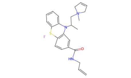 C=CCNC(=O)c1ccc2c(c1)N(C(C)C[N+]1(C)CC=CC1)c1ccccc1S2.[I-]